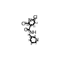 O=C(NCc1cccnc1)c1ccc(Cl)nc1Cl